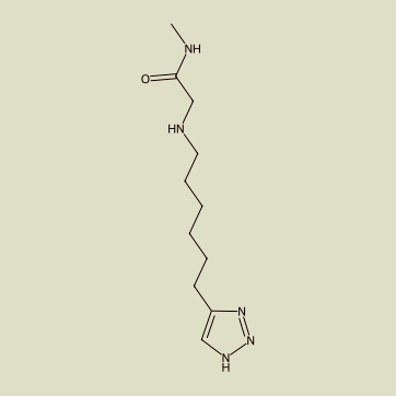 CNC(=O)CNCCCCCCc1c[nH]nn1